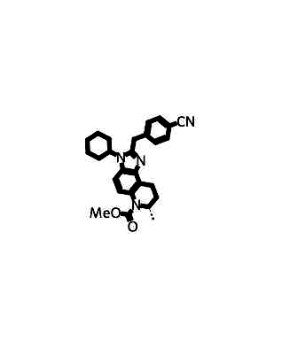 COC(=O)N1c2ccc3c(nc(Cc4ccc(C#N)cc4)n3C3CCCCC3)c2CC[C@@H]1C